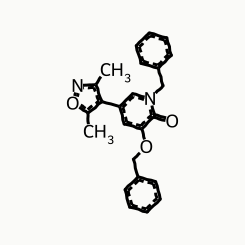 Cc1noc(C)c1-c1cc(OCc2ccccc2)c(=O)n(Cc2ccccc2)c1